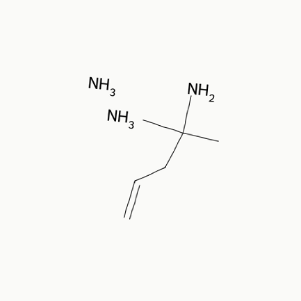 C=CCC(C)(C)N.N.N